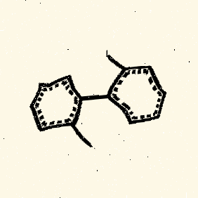 [CH2]c1ccccc1-c1ccccc1I